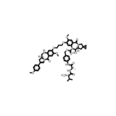 COc1ccc(C2=CN3C(=O)c4cc(OC)c(OCCCOc5cc6c(cc5OC)C(=O)N5CC7(CC7)C[C@H]5C(O)N6C(=O)OCc5ccc(NC(=O)[C@H](C)NC(=O)[C@@H](N)C(C)C)cc5)cc4NC[C@@H]3C2)cc1